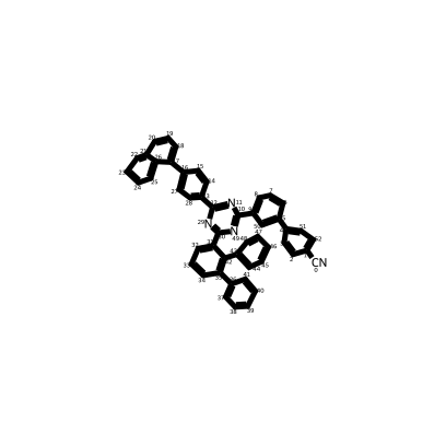 N#Cc1ccc(-c2cccc(-c3nc(-c4ccc(-c5cccc6ccccc56)cc4)nc(-c4cccc(-c5ccccc5)c4-c4ccccc4)n3)c2)cc1